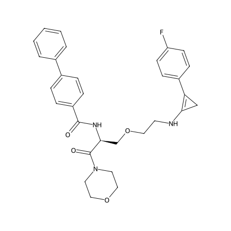 O=C(N[C@@H](COCCNC1=C(c2ccc(F)cc2)C1)C(=O)N1CCOCC1)c1ccc(-c2ccccc2)cc1